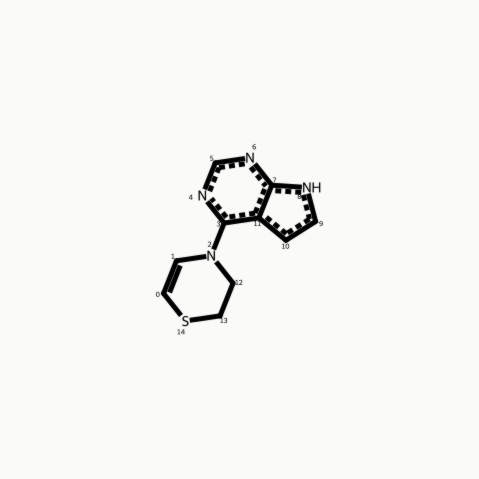 C1=CN(c2ncnc3[nH]ccc23)CCS1